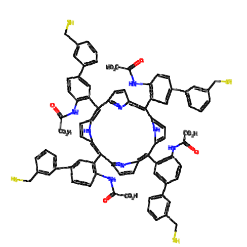 O=C(O)C(=O)Nc1ccc(-c2cccc(CS)c2)cc1-c1c2nc(c(-c3cc(-c4cccc(CS)c4)ccc3NC(=O)C(=O)O)c3ccc([nH]3)c(-c3cc(-c4cccc(CS)c4)ccc3NC(=O)C(=O)O)c3nc(c(-c4cc(-c5cccc(CS)c5)ccc4NC(=O)C(=O)O)c4ccc1[nH]4)C=C3)C=C2